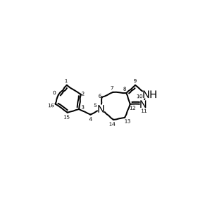 c1ccc(CN2CCc3c[nH]nc3CC2)cc1